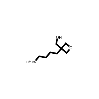 CCCCCCCCCCC1(CO)COC1